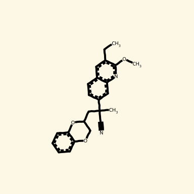 CCc1cc2ccc(C(C)(C#N)CC3COc4ccccc4O3)cc2nc1OC